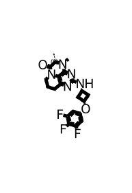 C[C@H]1C(=O)N2CCCc3nc(N[C@H]4C[C@H](Oc5cc(F)c(F)c(F)c5)C4)nc(c32)N1C